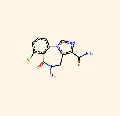 CN1Cc2c(C(N)=S)ncn2-c2cccc(Cl)c2C1=O